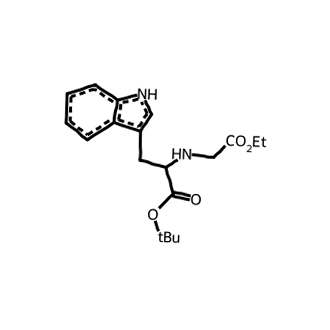 CCOC(=O)CNC(Cc1c[nH]c2ccccc12)C(=O)OC(C)(C)C